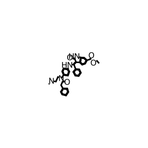 CCOC(=O)c1ccc2c(c1)NC(=O)/C2=C(\Nc1ccc(N(CCN(C)C)C(=O)Cc2ccccc2)cc1)c1ccccc1